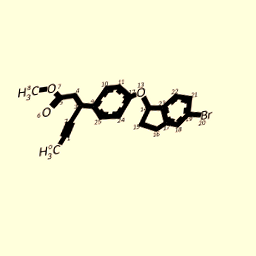 CC#CC(CC(=O)OC)c1ccc(OC2CCc3cc(Br)ccc32)cc1